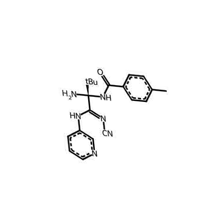 Cc1ccc(C(=O)N[C@@](N)(C(=NC#N)Nc2cccnc2)C(C)(C)C)cc1